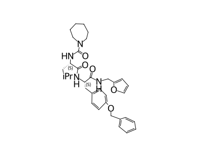 CC(C)C[C@H](NC(=O)N1CCCCCC1)C(=O)N[C@@H](Cc1ccc(OCc2ccccc2)cc1)C(=O)NCc1ccco1